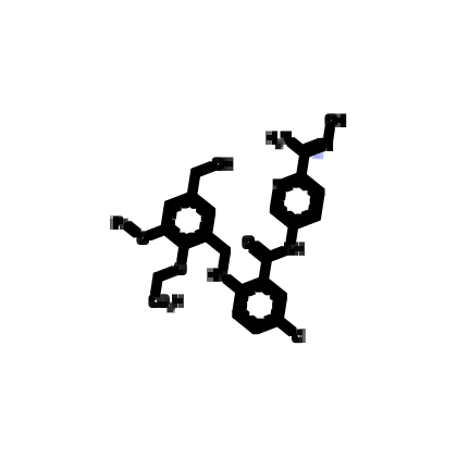 CC(C)Oc1cc(CO)cc(CNc2ccc(Cl)cc2C(=O)Nc2ccc(/C(N)=N/O)nc2)c1OCC(=O)O